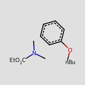 CCCCOc1ccccc1.CCOC(=O)N(C)C